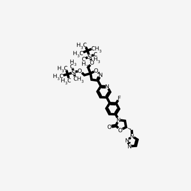 CC(C)(C)[Si](C)(C)OCC1(CO[Si](C)(C)C(C)(C)C)CC(c2ccc(-c3ccc(N4C[C@H](Cn5ccnn5)OC4=O)cc3F)cn2)=NO1